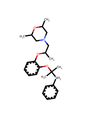 CC(CN1CC(C)OC(C)C1)Oc1ccccc1OC(C)(C)[SiH2]c1ccccc1